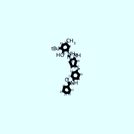 Cc1cc(N/N=C2/C=CC(Sc3ccc(NC(=O)c4ccccc4)cc3)=CC2=N)c(O)c(C(C)(C)C)c1